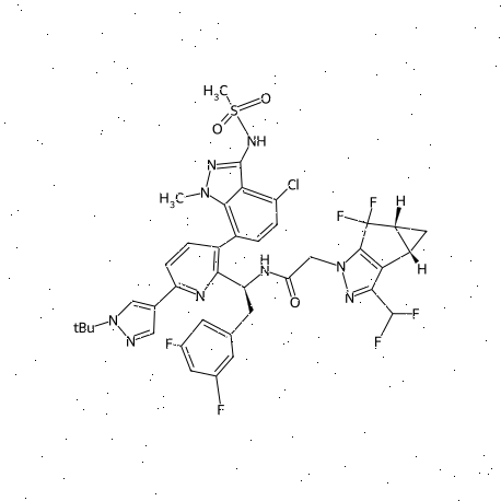 Cn1nc(NS(C)(=O)=O)c2c(Cl)ccc(-c3ccc(-c4cnn(C(C)(C)C)c4)nc3[C@H](Cc3cc(F)cc(F)c3)NC(=O)Cn3nc(C(F)F)c4c3C(F)(F)[C@@H]3C[C@H]43)c21